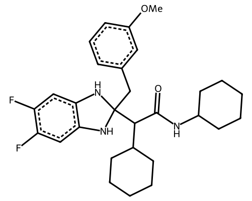 COc1cccc(CC2(C(C(=O)NC3CCCCC3)C3CCCCC3)Nc3cc(F)c(F)cc3N2)c1